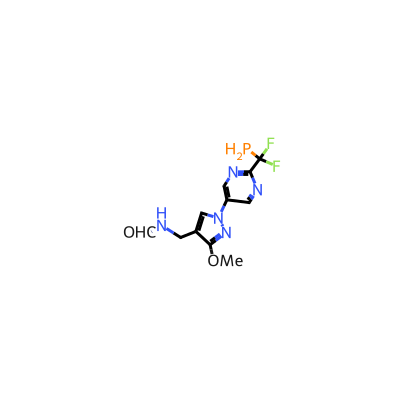 COc1nn(-c2cnc(C(F)(F)P)nc2)cc1CNC=O